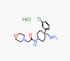 Cl.NC[C@]1(c2cccc(Cl)c2)CC[C@H](NC(=O)CN2CCOCC2)CC1